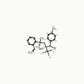 C=Cc1ccccc1C(C)(C)C[C@@](O)(C(S)c1ccc(C)cc1)C(F)(F)F